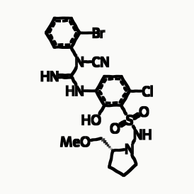 COC[C@H]1CCCN1NS(=O)(=O)c1c(Cl)ccc(NC(=N)N(C#N)c2ccccc2Br)c1O